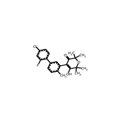 Cc1ccc(-c2ccc(Cl)cc2F)cc1C1=C(O)C(C)(C)OC(C)(C)C1=O